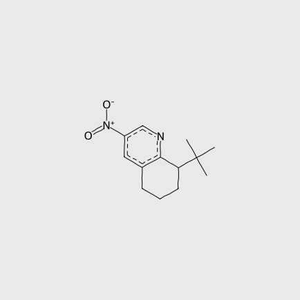 CC(C)(C)C1CCCc2cc([N+](=O)[O-])cnc21